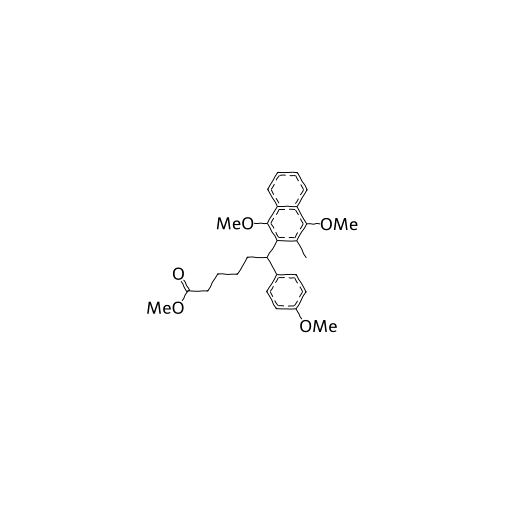 COC(=O)CCCCC(c1ccc(OC)cc1)c1c(C)c(OC)c2ccccc2c1OC